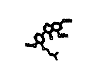 COc1cc(OC)c2c(=O)c(-c3ccc(OC)c(OCC=C(C)C)c3)coc2c1